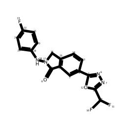 O=C1c2cc(-c3nnc(C(F)F)o3)ccc2CN1Nc1ccc(F)cc1